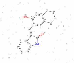 O=C1Nc2ccccc2/C1=C/c1cc2c(cc1O)CCCC2